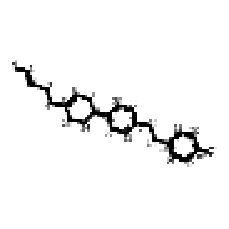 CC=CCCC1=CCC(c2ccc(CCc3ccc(F)cc3)cc2)CC1